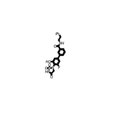 CC(C)CCNC(=O)c1cccc(-c2cc(O)c(N3CC(=O)NS3(=O)=O)c(F)c2)c1